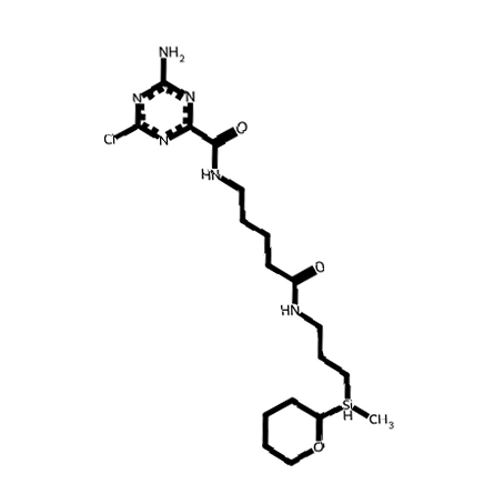 C[SiH](CCCNC(=O)CCCCNC(=O)c1nc(N)nc(Cl)n1)C1CCCCO1